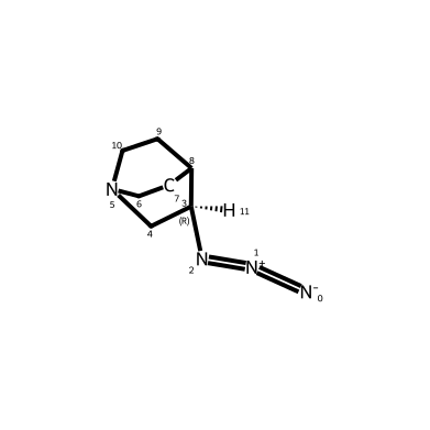 [N-]=[N+]=N[C@H]1CN2CCC1CC2